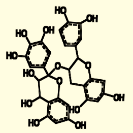 Oc1cc(O)c2c(c1)OC(c1ccc(O)c(O)c1)C(OC1(c3cc(O)c(O)c(O)c3)Oc3cc(O)cc(O)c3C(O)C1O)C2